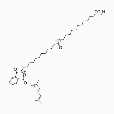 CC(C)=CCC/C(C)=C/COC(=O)c1ccccc1C(=O)NCCCCCCCCCCCC(=O)NCCCCCCCCCCCC(=O)O